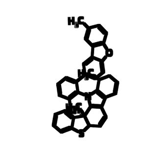 Cc1ccc2oc3ccc(-c4cccc(C)c4-n4c5c(c6c4C4(C)c7ccccc7SC4C=C6)C=CCC5C)cc3c2c1